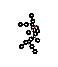 c1ccc(-c2ccc(-n3c4cc(-c5ccccc5)ccc4c4ccc(N(c5ccccc5)c5cc(N(c6ccccc6)c6ccc7c8ccc(-c9ccccc9)cc8n(-c8ccc(-c9ccccc9)cc8)c7c6)c6c(ccc7ccccc76)c5)cc43)cc2)cc1